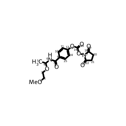 COCCOC(C)NC(=O)c1ccc(OC(=O)ON2C(=O)CCC2=O)cc1